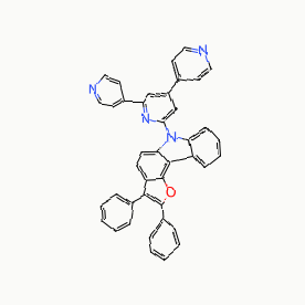 c1ccc(-c2oc3c(ccc4c3c3ccccc3n4-c3cc(-c4ccncc4)cc(-c4ccncc4)n3)c2-c2ccccc2)cc1